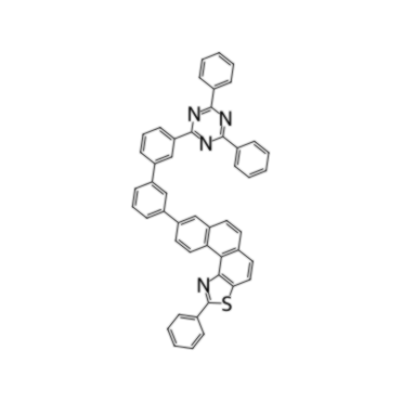 c1ccc(-c2nc(-c3ccccc3)nc(-c3cccc(-c4cccc(-c5ccc6c(ccc7ccc8sc(-c9ccccc9)nc8c76)c5)c4)c3)n2)cc1